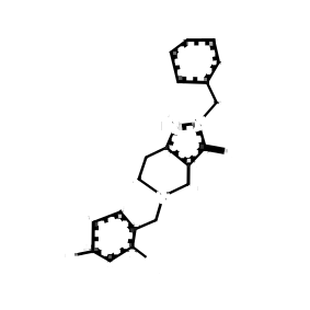 O=c1c2c([nH]n1Cc1ccccc1)CCN(Cc1ccc(Cl)cc1Cl)C2